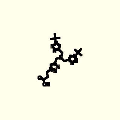 CC(C)(C)n1cc(CN(Cc2cn(CCC(=O)O)nn2)Cc2cn(C(C)(C)C)nn2)nn1